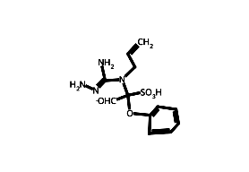 C=CCN(C(N)=NN)C([C]=O)(Oc1ccccc1)S(=O)(=O)O